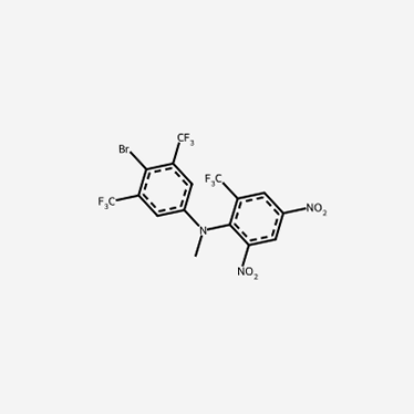 CN(c1cc(C(F)(F)F)c(Br)c(C(F)(F)F)c1)c1c([N+](=O)[O-])cc([N+](=O)[O-])cc1C(F)(F)F